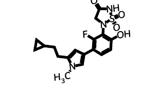 Cn1cc(-c2ccc(O)c(N3CC(=O)NS3(=O)=O)c2F)cc1CCC1CC1